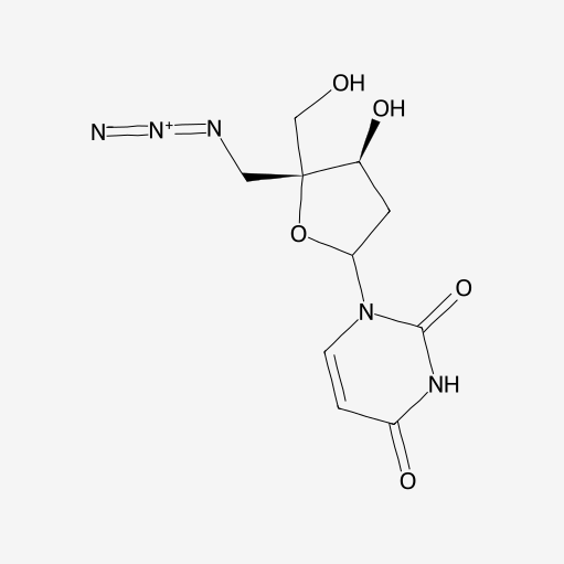 [N-]=[N+]=NC[C@]1(CO)OC(n2ccc(=O)[nH]c2=O)C[C@@H]1O